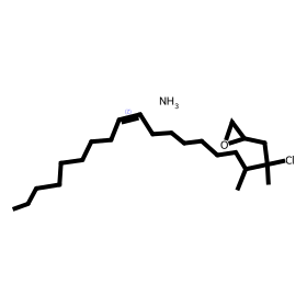 CCCCCCCC/C=C\CCCCCCC(C)C(C)(Cl)CC1CO1.N